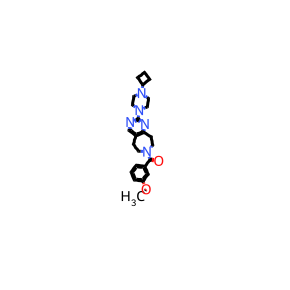 COc1cccc(C(=O)N2CCc3cnc(N4CCN(C5CCC5)CC4)nc3CC2)c1